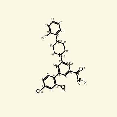 NC(=O)c1cc(-c2ccc(Cl)cc2Cl)nc(N2CCN(c3ccccc3F)CC2)n1